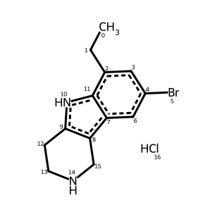 CCc1cc(Br)cc2c3c([nH]c12)CCNC3.Cl